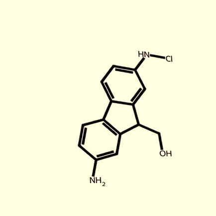 Nc1ccc2c(c1)C(CO)c1cc(NCl)ccc1-2